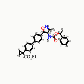 CCOC(=O)C1(c2ccc(-c3ccc(-c4onc(C)c4N(C)C(=O)OC(C)c4ccccc4)cc3)cc2)CC1